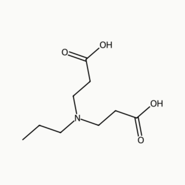 CCCN(CCC(=O)O)CCC(=O)O